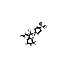 C=CC=C(C(=O)Oc1ccc([N+](=O)[O-])cc1)c1cccc(Cl)c1